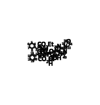 CCOC(=O)[C@H](Cc1ccccc1)NP(=O)(N[C@@H](Cc1ccccc1)C(=O)OCC)OC[C@H]1O[C@@H](n2cnc3c(N4CCOCC4)nc(C)nc32)[C@@](C)(O)C1O